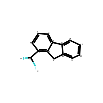 FC(F)c1cccc2c1Cc1ccccc1-2